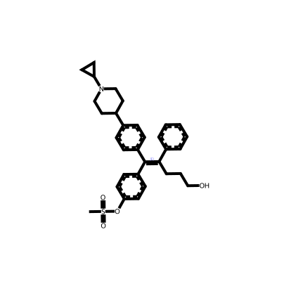 CS(=O)(=O)Oc1ccc(/C(=C(\CCCO)c2ccccc2)c2ccc(C3CCN(C4CC4)CC3)cc2)cc1